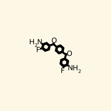 Nc1cc(C(=O)c2ccc(C(=O)c3ccc(F)c(N)c3)cc2)ccc1F